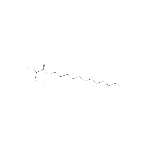 CCCCCCCCCCSC(CCCC)C(=O)OCCCCCCNCCCCO